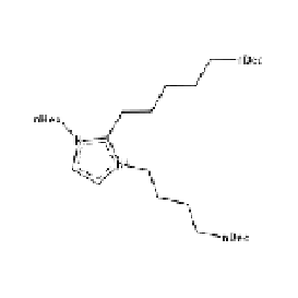 CCCCCCCCCCCCCCCc1n(CCCCCC)cc[n+]1CCCCCCCCCCCCCC